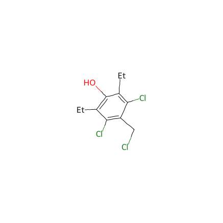 CCc1c(O)c(CC)c(Cl)c(CCl)c1Cl